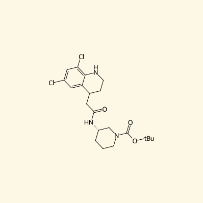 CC(C)(C)OC(=O)N1CCC[C@H](NC(=O)CC2CCNc3c(Cl)cc(Cl)cc32)C1